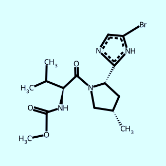 COC(=O)N[C@H](C(=O)N1C[C@@H](C)C[C@H]1c1ncc(Br)[nH]1)C(C)C